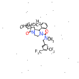 Cc1ccccc1C1C2CC(CC=O)(CC=O)C(=O)N2CCN1C(=O)N(C)Cc1cc(C(F)(F)F)cc(C(F)(F)F)c1